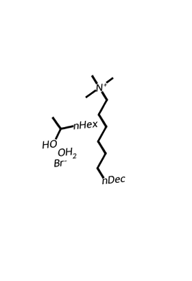 CCCCCCC(C)O.CCCCCCCCCCCCCCCC[N+](C)(C)C.O.[Br-]